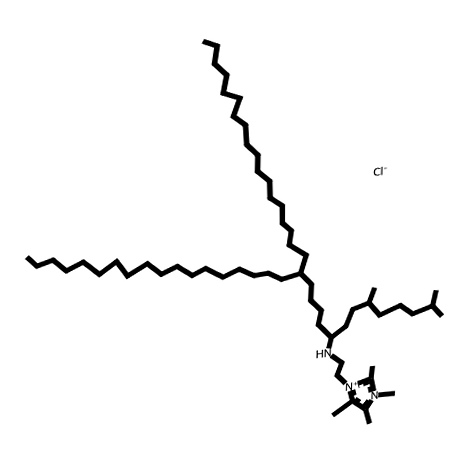 CCCCCCCCCCCCCCCCCCC(CCCCCCCCCCCCCCCCCC)CCCCC(CCC(C)CCCC(C)C)NCC[n+]1c(C)c(C)n(C)c1C.[Cl-]